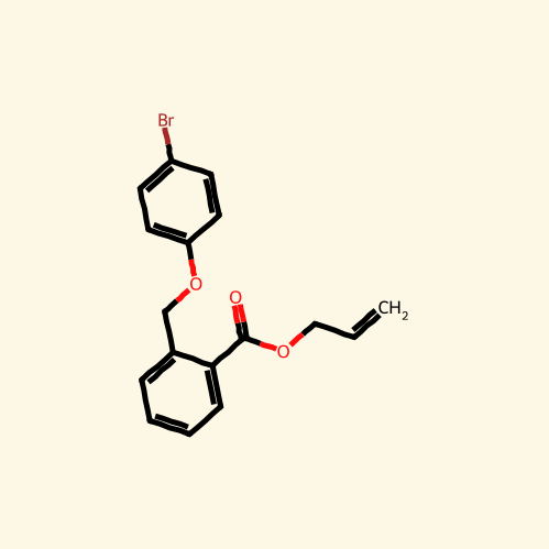 C=CCOC(=O)c1ccccc1COc1ccc(Br)cc1